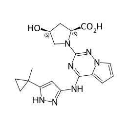 CC1(c2cc(Nc3nc(N4C[C@@H](O)C[C@H]4C(=O)O)nn4cccc34)n[nH]2)CC1